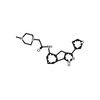 CN1CCN(CC(=O)Nc2cccc3c2Cc2c(-c4ccsc4)n[nH]c2-3)CC1